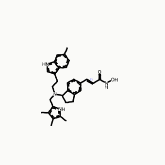 Cc1ccc2c(CCN(Cc3[nH]c(C)c(C)c3C)C3CCc4cc(/C=C/C(=O)NO)ccc43)c[nH]c2c1